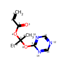 C=CC(=O)OC(C)(CC)Oc1ncncn1